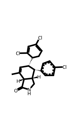 CC1=C[C@H](C2CC=C(Cl)C=C2Cl)[C@H](c2ccc(Cl)cc2)[C@@H]2CNC(=O)[C@H]12